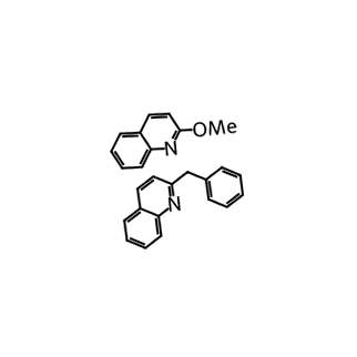 COc1ccc2ccccc2n1.c1ccc(Cc2ccc3ccccc3n2)cc1